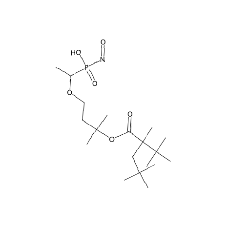 CC(OCCC(C)(C)OC(=O)C(C)(CC(C)(C)C)C(C)(C)C)P(=O)(O)N=O